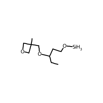 CCC(CCO[SiH3])OCC1(C)COC1